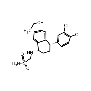 CCO.NS(=O)(=O)CN[C@H]1CC[C@@H](c2ccc(Cl)c(Cl)c2)c2ccccc21